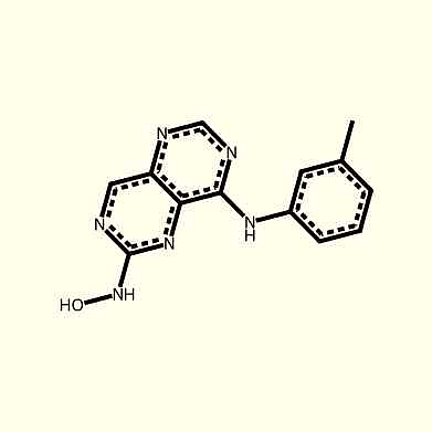 Cc1cccc(Nc2ncnc3cnc(NO)nc23)c1